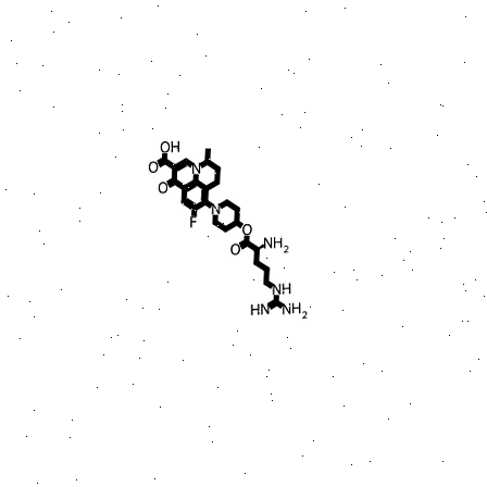 CC1CCc2c(N3CCC(OC(=O)[C@@H](N)CCCNC(=N)N)CC3)c(F)cc3c(=O)c(C(=O)O)cn1c23